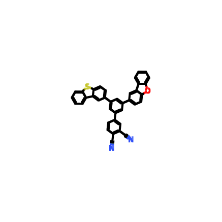 N#Cc1ccc(-c2cc(-c3ccc4oc5ccccc5c4c3)cc(-c3ccc4sc5ccccc5c4c3)c2)cc1C#N